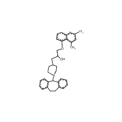 Cc1cc(C(F)(F)F)nc2cccc(OCC(O)CN3CCN(C4c5ccccc5CCc5ccccc54)CC3)c12